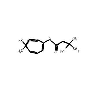 CC1(C)C=CC=C(NC(=O)CC(C)(C)C)C=C1